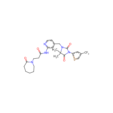 CC1(C)C(=O)N(c2cc(C(F)(F)F)cs2)C(=O)N1Cc1ccnc(NC(=O)CCN2CCCCCC2=O)c1